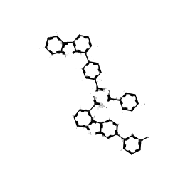 Cc1cccc(-c2ccc3c(c2)sc2cccc(-c4nc(-c5ccccc5)nc(-c5ccc(-c6cccc7c6oc6ccccc67)cc5)n4)c23)c1